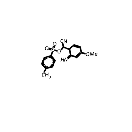 COC1=CC(=N)C(C(C#N)OS(=O)(=O)c2ccc(C)cc2)C=C1